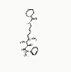 C[C@@H](NC(=O)C(O)[C@@H](N)CCCCNC(=O)N1CCOCC1)c1ccccc1